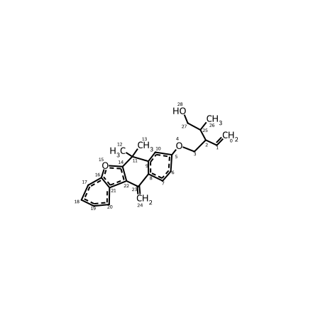 C=CC(COc1ccc2c(c1)C(C)(C)c1oc3ccccc3c1C2=C)C(C)CO